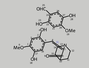 COc1cc(O)c(/C=C2\C(=O)C3CCN2CC3)cc1O.COc1cc(O)c(C=O)cc1O